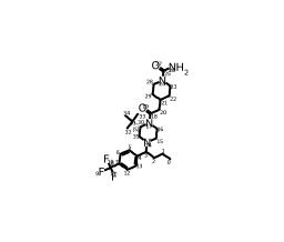 CCCC(c1ccc(C(F)(F)F)cc1)N1CCN(C(=O)CC2CCN(C(N)=O)CC2)[C@@H](C(C)(C)C)C1